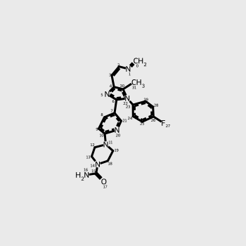 C=N/C=C\c1nc(-c2ccc(N3CCN(C(N)=O)CC3)nc2)n(-c2ccc(F)cc2)c1C